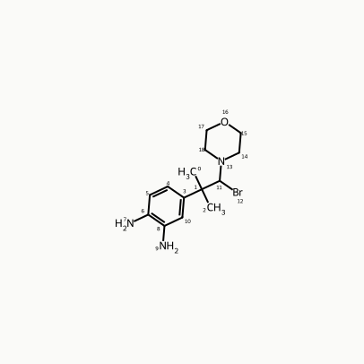 CC(C)(c1ccc(N)c(N)c1)C(Br)N1CCOCC1